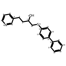 OC(CCc1cccnc1)CSc1ccc(-c2ccccc2)cc1